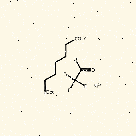 CCCCCCCCCCCCCCCC(=O)[O-].O=C([O-])C(F)(F)F.[Ni+2]